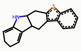 C1=C2NC3Cc4sc5ccccc5c4CC3C2=CCC1